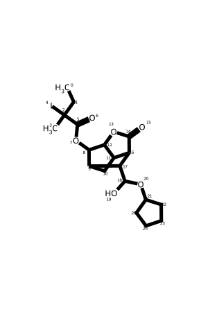 CCC(C)(I)C(=O)OC1C2CC3C1OC(=O)C3C2C(O)OC1CCCC1